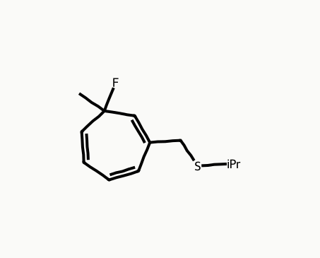 CC(C)SCC1=CC(C)(F)C=CC=C1